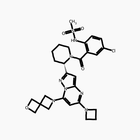 CS(=O)(=O)Nc1ccc(Cl)cc1C(=O)N1CCCC[C@H]1c1cc2nc(N3CCC3)cc(N3CC4(COC4)C3)n2n1